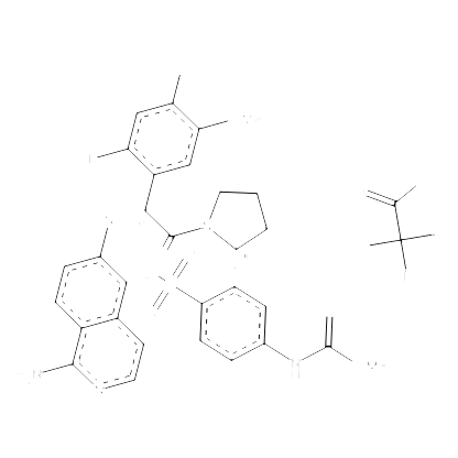 CCS(=O)(=O)c1ccc(NC(=O)OC)cc1[C@H]1CCCN1C(=O)[C@H](Nc1ccc2c(N)nccc2c1)c1cc(OC)c(F)cc1F.O=C(O)C(F)(F)F